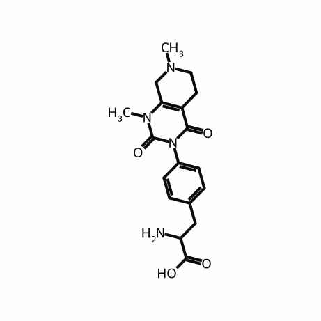 CN1CCc2c(n(C)c(=O)n(-c3ccc(CC(N)C(=O)O)cc3)c2=O)C1